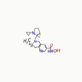 CC[C@@H]1Cc2ncc(C(=O)NO)cc2CN1CC12CC1CCN2C1CC1